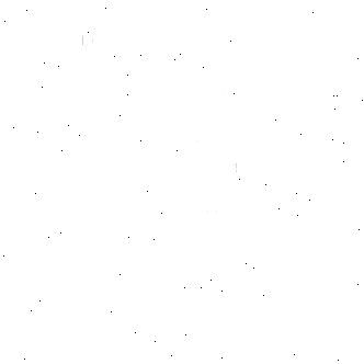 CC/C=C/c1ccccc1O[PH](=O)Oc1ccccc1/C=C/CC